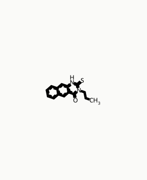 CCCn1c(=S)[nH]c2cc3ccccc3cc2c1=O